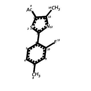 CC(=O)c1sc(-c2ccc(C)cc2F)nc1C